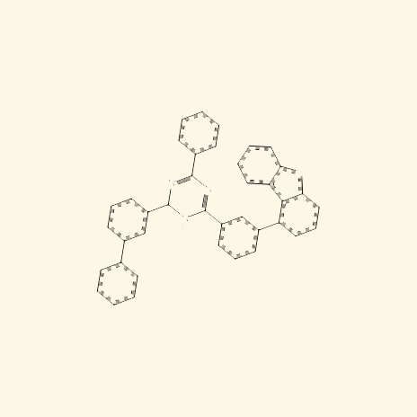 c1ccc(C2=NC(c3cccc(-c4ccccc4)c3)NC(c3cccc(-c4cccc5oc6ccccc6c45)c3)=N2)cc1